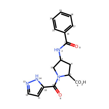 O=C(NC1CC(C(=O)O)N(C(=O)c2ccn[nH]2)C1)c1ccccc1